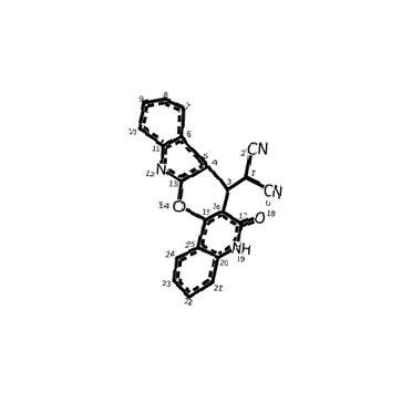 N#CC(C#N)C1c2cc3ccccc3nc2Oc2c1c(=O)[nH]c1ccccc21